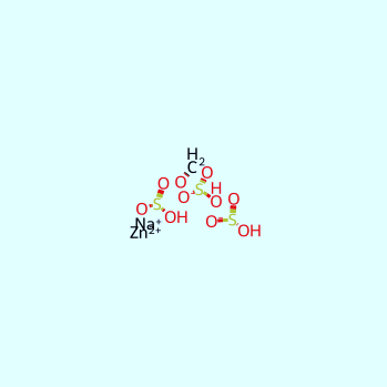 C=O.O=S([O-])O.O=S([O-])O.O=S([O-])O.[Na+].[Zn+2]